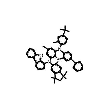 Cc1cc2c3c(c1)N(c1cccc4c1oc1ccccc14)c1cc4c(cc1B3c1cc(-c3ccccc3)ccc1N2c1ccc(C(C)(C)C)cc1C)C(C)(C)CC4(C)C